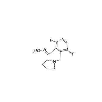 ON=Cc1c(F)ccc(F)c1CN1CCCC1